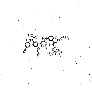 CCOC(=O)C[C@@H](NC(=O)OC(C)(C)C)c1cccc(NC(=O)C[C@@H](C)c2cc(C(Nc3ccc(C#N)cc3)C(=O)O)ccc2OCC(F)F)c1